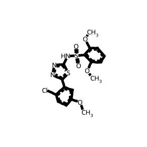 COc1ccc(Cl)c(-c2nnc(NS(=O)(=O)c3c(OC)cccc3OC)s2)c1